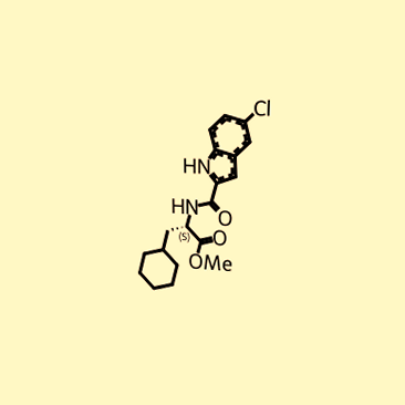 COC(=O)[C@H](CC1CCCCC1)NC(=O)c1cc2cc(Cl)ccc2[nH]1